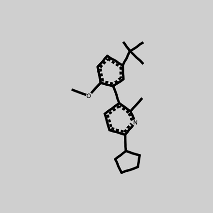 COc1ccc(C(C)(C)C)cc1-c1ccc(C2CCCC2)nc1C